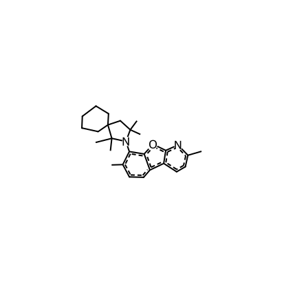 Cc1ccc2c(n1)oc1c(N3C(C)(C)CC4(CCCCC4)C3(C)C)c(C)ccc12